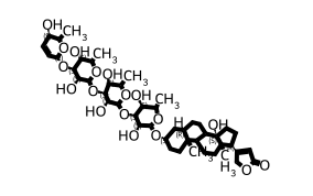 CC1O[C@H](O[C@@H]2[C@H](O)C(O[C@@H]3[C@H](O)C(O[C@@H]4[C@H](O)C(O[C@H]5CCC6(C)C7CCC8(C)[C@@H](C9=CC(=O)OC9)CC[C@]8(O)C7CC[C@@H]6C5)OC(C)[C@@H]4O)OC(C)[C@@H]3O)OC(C)[C@@H]2O)C=C[C@@H]1O